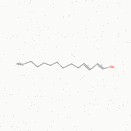 CCCCCCCCCCCCCCCC/C=C/C=C/O